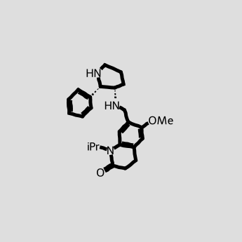 COc1cc2c(cc1CN[C@H]1CCCN[C@H]1c1ccccc1)N(C(C)C)C(=O)CC2